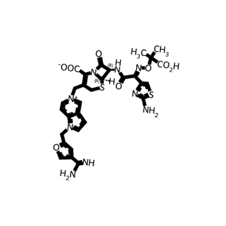 CC(C)(ON=C(C(=O)N[C@@H]1C(=O)N2C(C(=O)[O-])=C(C[n+]3ccc4c(ccn4Cc4cc(C(=N)N)co4)c3)CS[C@H]12)c1csc(N)n1)C(=O)O